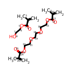 C=C(C)C(=O)OCCO.C=C(C)C(=O)OCCOCCOCCOC(=O)C(=C)C